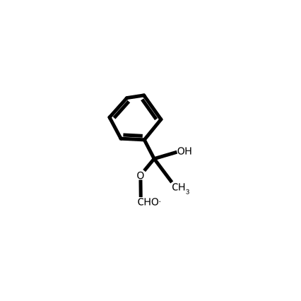 CC(O)(O[C]=O)c1ccccc1